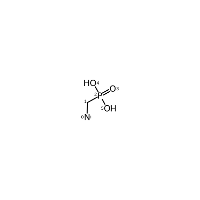 [N]CP(=O)(O)O